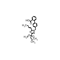 CCC=Cc1nc(C(CCC)(OC)OC)nn1Cc1ccc(-c2ccccc2C(=O)O)cc1